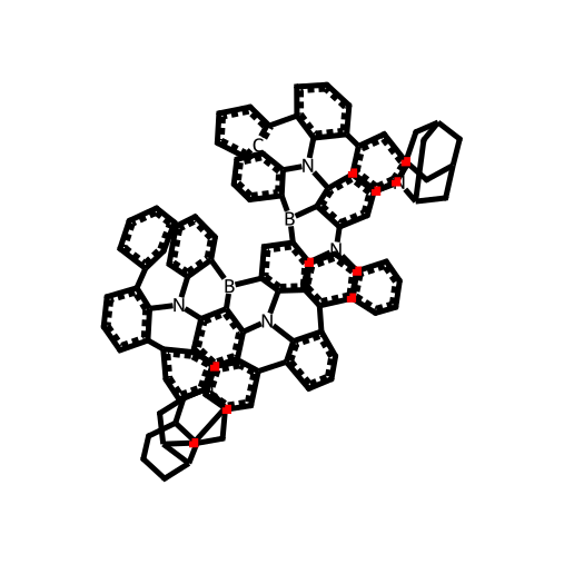 c1ccc(-c2cccc(-c3ccccc3)c2N2c3ccccc3B3c4cc5c(cc4N(c4ccccc4)c4cc(N6C7CC8CC(C7)CC6C8)cc2c43)N(c2c(-c3ccccc3)cccc2-c2ccccc2)c2cc(N3C4CC6CC3C3CCCC6C3C4)cc3c2B5c2ccccc2N3c2c(-c3ccccc3)cccc2-c2ccccc2)cc1